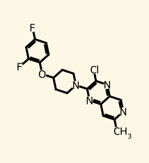 Cc1cc2nc(N3CCC(Oc4ccc(F)cc4F)CC3)c(Cl)nc2cn1